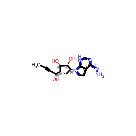 CC#C[C@@H](O)[C@H]1C[C@@H](n2ccc3/c(=N\N)nc[nH]c32)[C@H](O)[C@@H]1O